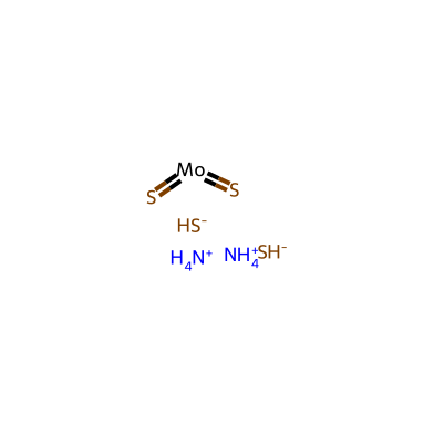 [NH4+].[NH4+].[SH-].[SH-].[S]=[Mo]=[S]